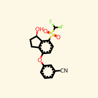 N#Cc1cccc(Oc2ccc(S(=O)(=O)C(F)F)c3c2CC[C@H]3O)c1